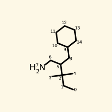 CCC(C)(C)C(CN)CC1CCCCC1